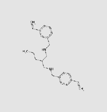 C=Cc1ccc(CNCC(CCC)CNCc2cccc(C=C)c2)cc1